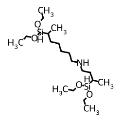 CCO[SiH](OCC)C(C)CCCCCNCCC(C)[SiH](OCC)OCC